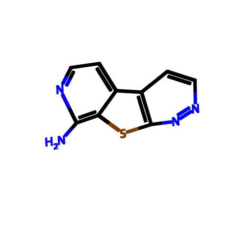 Nc1nccc2c1sc1nnccc12